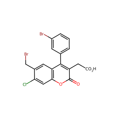 O=C(O)Cc1c(-c2cccc(Br)c2)c2cc(CBr)c(Cl)cc2oc1=O